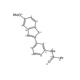 COc1ccc2sc(-c3cncc(NC(=O)C(C)C)c3)nc2c1